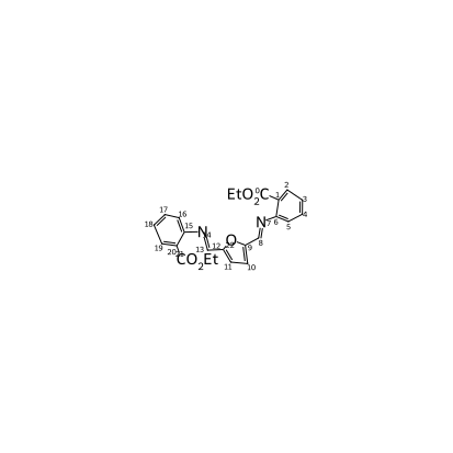 CCOC(=O)c1ccccc1N=Cc1ccc(C=Nc2ccccc2C(=O)OCC)o1